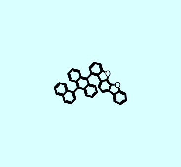 c1ccc2c(-c3c4ccccc4c(-c4cccc5oc6c(ccc7c8ccccc8oc76)c45)c4ccccc34)cccc2c1